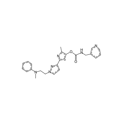 Cc1nc(-c2ccn(CCN(C)c3ccccc3)n2)sc1OC(=O)NCc1cccnc1